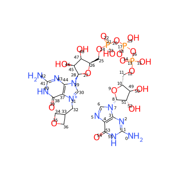 Nc1nc2c(ncn2[C@@H]2O[C@H](COP(=O)(O)OP(=O)(O)OP(=O)(O)OC[C@H]3O[C@@H](n4c[n+](CC5COC5)c5c(=O)[nH]c(N)nc54)[C@@H](O)C3O)C(O)[C@@H]2O)c(=O)[nH]1